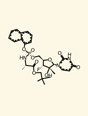 C[C@H](NP(=O)(OC[C@H]1O[C@@H](n2ccc(=O)[nH]c2=O)[C@](C)(O)[C@@H]1F)Oc1cccc2ccccc12)C(=O)OCC(C)(C)C